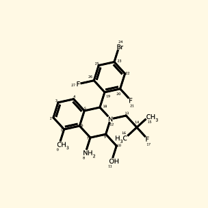 Cc1cccc2c1C(N)C(CO)N(CC(C)(C)F)C2c1c(F)cc(Br)cc1F